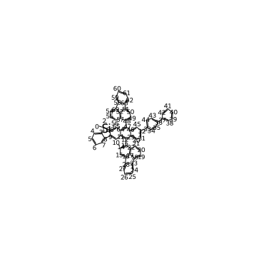 C[Si]1(C)c2ccccc2-c2cc3c(-c4ccc5c6c(cccc46)-c4ccccc4-5)c4ccc(-c5ccc(-c6ccccc6)cc5)cc4c(-c4ccc5c6c(cccc46)-c4ccccc4-5)c3cc21